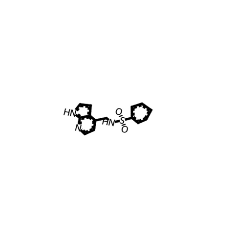 O=S(=O)(NCc1ccnc2[nH]ccc12)c1ccccc1